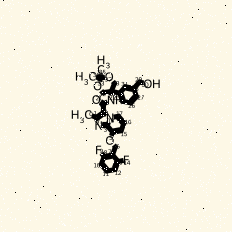 Cc1nc2c(OCc3c(F)cccc3F)cccn2c1C(=O)NC1(c2cccc(CO)c2)COC(C)(C)OC1